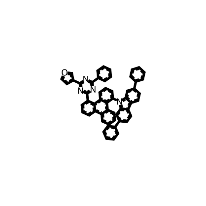 c1ccc(-c2ccc3c4ccc(-c5ccccc5)cc4n(-c4cccc5c6c(-c7nc(-c8ccccc8)nc(-c8ccoc8)n7)cccc6c6ccccc6c45)c3c2)cc1